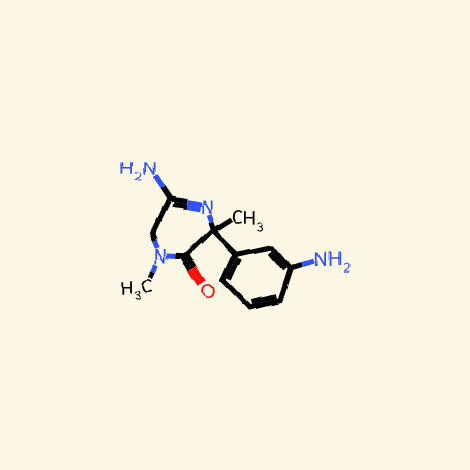 CN1CC(N)=NC(C)(c2cccc(N)c2)C1=O